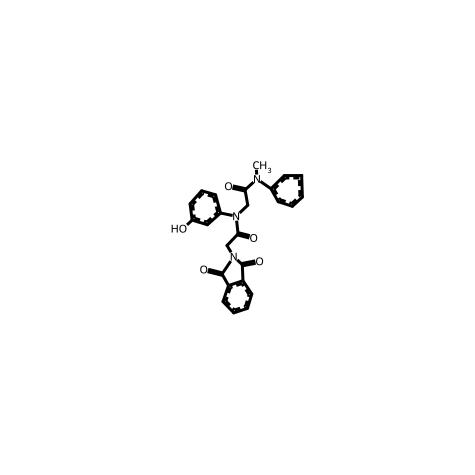 CN(C(=O)CN(C(=O)CN1C(=O)c2ccccc2C1=O)c1cccc(O)c1)c1ccccc1